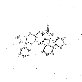 CCCOC1(c2ccccc2)CCN(CN2C(=O)NC(c3ccccc3)(c3ccccn3)C2=O)CC1